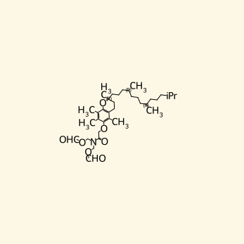 Cc1c(C)c2c(c(C)c1OCC(=O)N(COC=O)COC=O)CC[C@@](C)(CCC[C@H](C)CCC[C@H](C)CCCC(C)C)O2